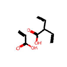 C=CC(=O)O.C=CC(C=C)C(=O)O